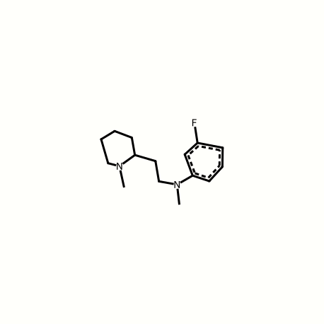 CN(CCC1CCCCN1C)c1cccc(F)c1